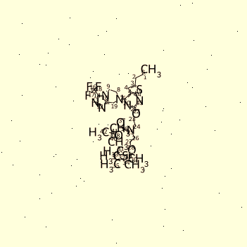 CCCc1cc2c(N3CCn4c(nnc4C(F)(F)F)C3)nc(OCCN(CCO[Si](C)(C)C(C)(C)C)C(=O)OC(C)(C)C)nc2s1